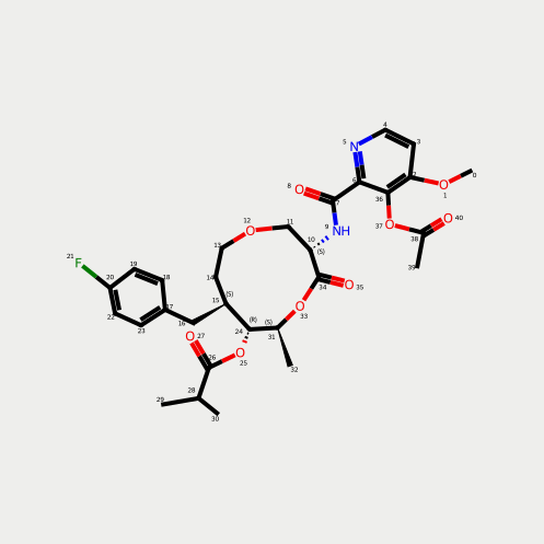 COc1ccnc(C(=O)N[C@H]2COCC[C@H](Cc3ccc(F)cc3)[C@@H](OC(=O)C(C)C)[C@H](C)OC2=O)c1OC(C)=O